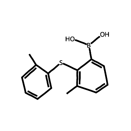 Cc1ccccc1Sc1c(C)cccc1B(O)O